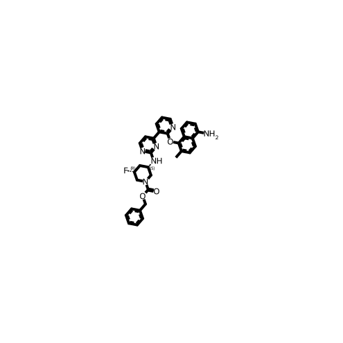 Cc1ccc2c(N)cccc2c1Oc1ncccc1-c1ccnc(N[C@H]2C[C@@H](F)CN(C(=O)OCc3ccccc3)C2)n1